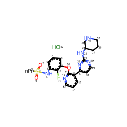 CCCS(=O)(=O)Nc1cccc(Oc2ncccc2-c2ccnc(NC3CCCNC3)n2)c1F.Cl